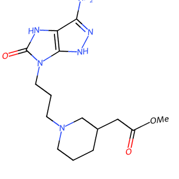 COC(=O)CC1CCCN(CCCn2c(=O)[nH]c3c(N)n[nH]c32)C1